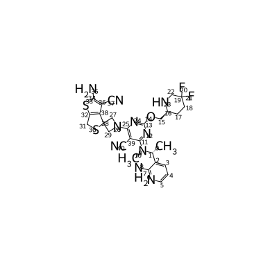 C[C@H](c1cccnc1N)N(C)c1nc(OC[C@@H]2CCC(F)(F)CN2)nc(N2CC3(C2)SCc2sc(N)c(C#N)c23)c1C#N